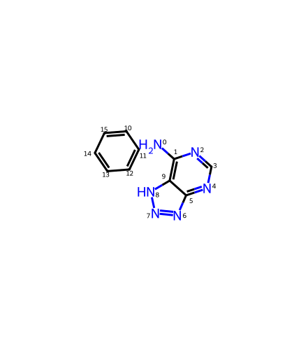 Nc1ncnc2nn[nH]c12.c1ccccc1